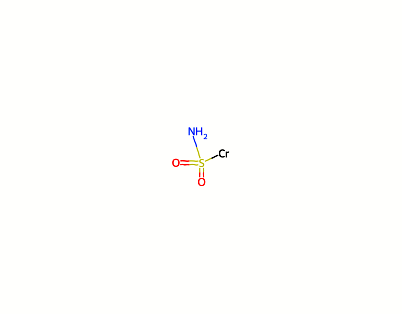 N[S](=O)(=O)[Cr]